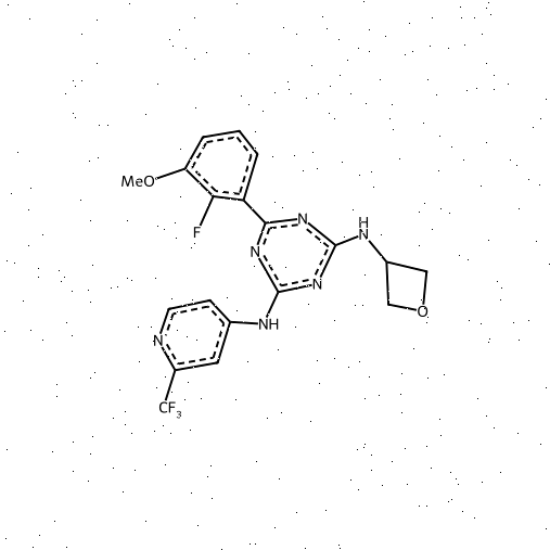 COc1cccc(-c2nc(Nc3ccnc(C(F)(F)F)c3)nc(NC3COC3)n2)c1F